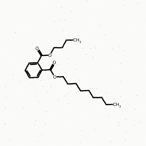 CCCCCCCCCOC(=O)c1ccccc1C(=O)OCCCC